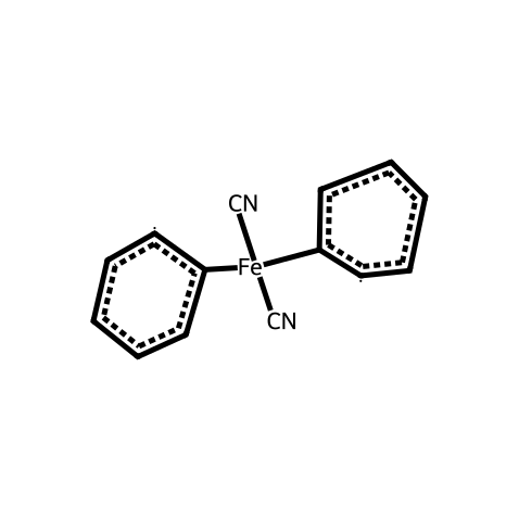 N#[C][Fe]([C]#N)([c]1[c]cccc1)[c]1[c]cccc1